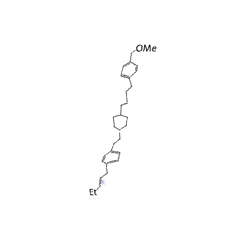 CC/C=C/Cc1ccc(CCC2CCC(CCCCc3ccc(COC)cc3)CC2)cc1